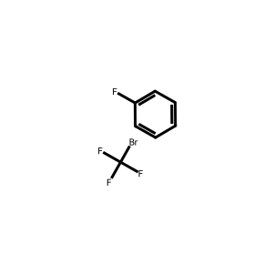 FC(F)(F)Br.Fc1ccccc1